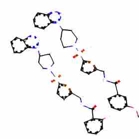 COc1cccc(C(=O)NCc2ccc(S(=O)(=O)N3CCC(n4nnc5ccccc54)CC3)s2)c1.O=C(NCc1ccc(S(=O)(=O)N2CCC(n3nnc4ccccc43)CC2)s1)c1ccccc1O